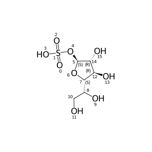 O=S(=O)(O)O[C@@H]1O[C@@H](C(O)CO)[C@H](O)[C@H]1O